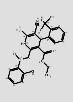 CCOC(=O)C1=C(C[S+]([O-])c2ccccc2Cl)NC(C)=C(C#N)C1c1ccccc1C(F)(F)F